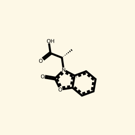 C[C@@H](C(=O)O)n1c(=O)oc2ccccc21